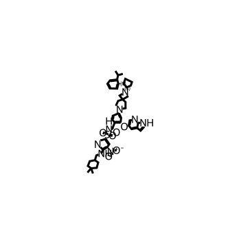 CC(C)c1ccccc1[C@@H]1CCC[C@H]1N1CC2(CCN(c3ccc(C(=O)NS(=O)(=O)c4cnc(NCC5CCC(C)(C)CC5)c([N+](=O)[O-])c4)c(Oc4cnc5[nH]ccc5c4)c3)CC2)C1